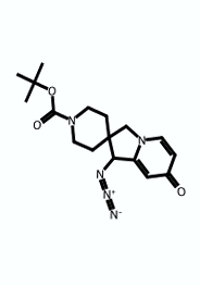 CC(C)(C)OC(=O)N1CCC2(CC1)Cn1ccc(=O)cc1C2N=[N+]=[N-]